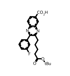 CC(C)(C)OC(=O)CCCCc1nc2cc(C(=O)O)ccc2nc1-c1cccc(F)c1